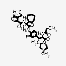 CCC(=O)N[C@@H](C(=O)N1CCN(C)CC1)[C@@H](C)c1ccc(NC(=O)[C@](C)(NC(=O)c2conc2CC)C2CCCCCC2)c(F)c1